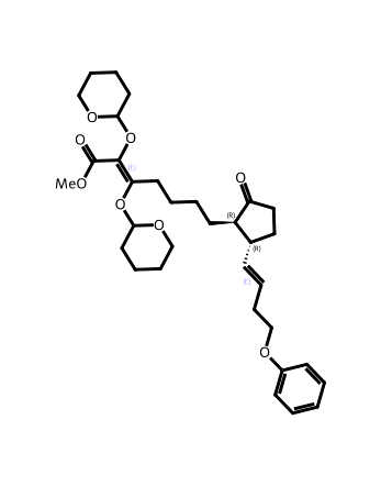 COC(=O)/C(OC1CCCCO1)=C(/CCCC[C@H]1C(=O)CC[C@@H]1/C=C/CCOc1ccccc1)OC1CCCCO1